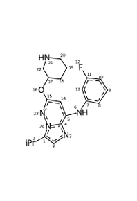 CC(C)c1cnc2c(Nc3cccc(F)c3)cc(OC3CCCNC3)nn12